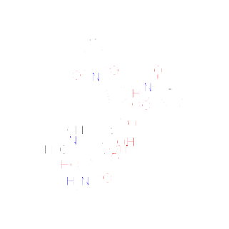 CN(C)C1C(O)=C(C(N)=O)C(=O)C2(O)C(O)=C3C(=O)c4c(O)c(CN5C(=O)c6ccccc6C5=O)cc(CN5C(=O)c6ccccc6C5=O)c4CC3CC12